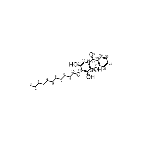 CCCCCCCCCCCOc1c(O)cc(C(=O)c2ccccc2)c(O)c1O